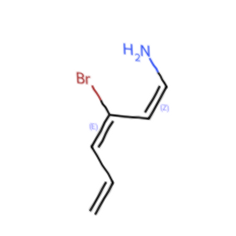 C=C/C=C(Br)\C=C/N